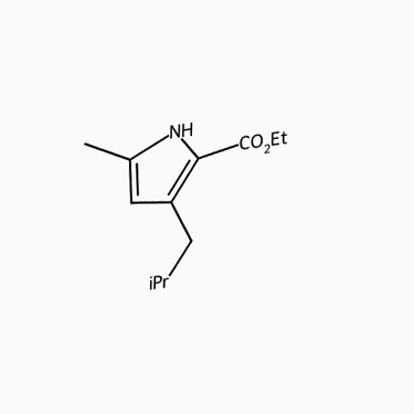 CCOC(=O)c1[nH]c(C)cc1CC(C)C